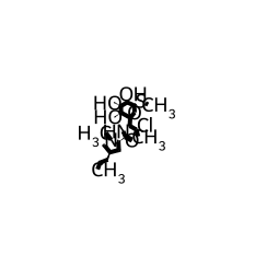 CCC[C@@H]1C[C@@H](C(=O)NC(C(C)Cl)C2O[C@H](SC)[C@H](O)[C@@H](O)[C@H]2O)N(C)C1